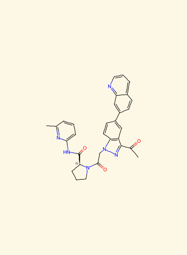 CC(=O)c1nn(CC(=O)N2CCC[C@H]2C(=O)Nc2cccc(C)n2)c2ccc(-c3ccc4cccnc4c3)cc12